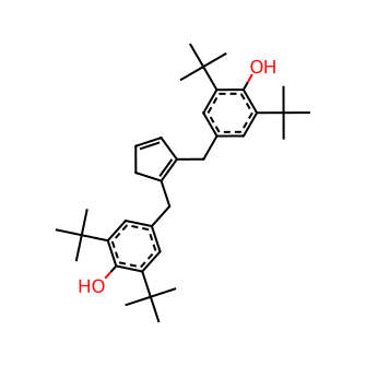 CC(C)(C)c1cc(CC2=C(Cc3cc(C(C)(C)C)c(O)c(C(C)(C)C)c3)CC=C2)cc(C(C)(C)C)c1O